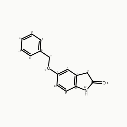 O=C1Cc2cc(OCc3ccccc3)ccc2N1